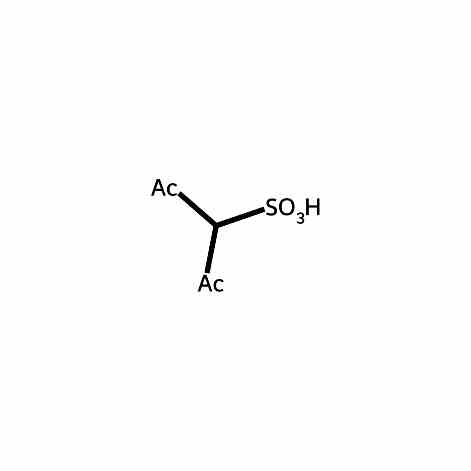 CC(=O)C(C(C)=O)S(=O)(=O)O